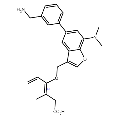 C=C/C(OCc1coc2c(N(C)C)cc(-c3cccc(CN)c3)cc12)=C(\C)CC(=O)O